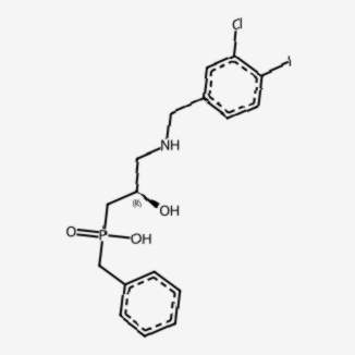 O=P(O)(Cc1ccccc1)C[C@H](O)CNCc1ccc(I)c(Cl)c1